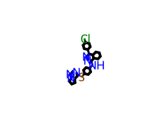 Clc1ccc(-c2nnc(Nc3ccc(Sc4ncnn5cccc45)cc3)c3ccccc23)cc1